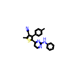 Cc1ccc(-c2c(-c3ccnc(Nc4ccccc4)n3)sc(C)c2C#N)cc1